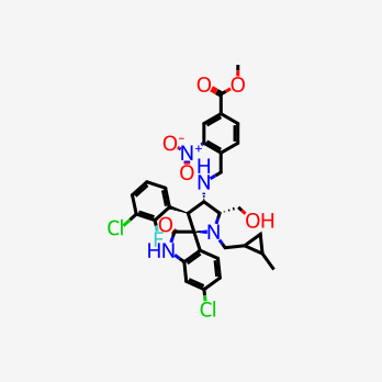 COC(=O)c1ccc(CN[C@@H]2[C@H](CO)N(CC3CC3C)[C@@]3(C(=O)Nc4cc(Cl)ccc43)[C@H]2c2cccc(Cl)c2F)c([N+](=O)[O-])c1